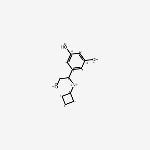 OCC(NC1CCC1)c1cc(O)cc(O)c1